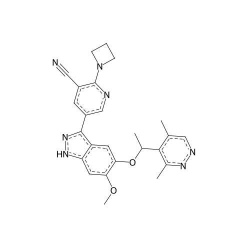 COc1cc2[nH]nc(-c3cnc(N4CCC4)c(C#N)c3)c2cc1OC(C)c1c(C)cnnc1C